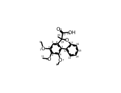 COc1cc2c(c(OC)c1OC)-c1ccccc1OC2(C)C(=O)O